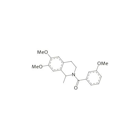 COc1cccc(C(=O)N2CCc3cc(OC)c(OC)cc3C2C)c1